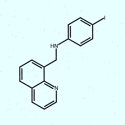 Ic1ccc(NCc2cccc3cccnc23)cc1